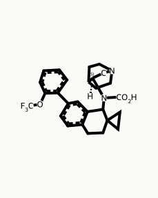 O=C(O)N(C1c2cc(-c3ccccc3OC(F)(F)F)ccc2CCC12CC2)[C@@H]1CN2CCC1CC2